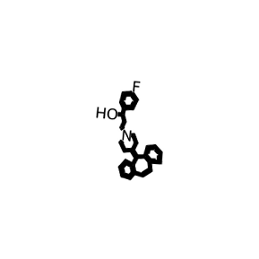 OC(CCN1CCC(=C2c3ccccc3C=Cc3ccccc32)CC1)c1ccc(F)cc1